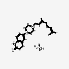 CC(C)=CCC/C(C)=C/CN1CCN(c2ccc3c(c2)CCC(=O)N3)CC1.Cl.O